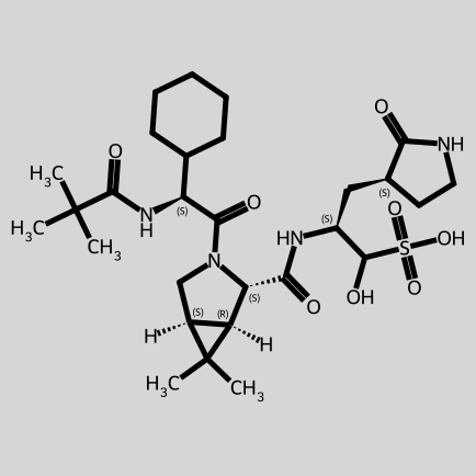 CC(C)(C)C(=O)N[C@H](C(=O)N1C[C@H]2[C@@H]([C@H]1C(=O)N[C@@H](C[C@@H]1CCNC1=O)C(O)S(=O)(=O)O)C2(C)C)C1CCCCC1